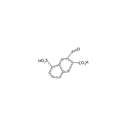 O=Ic1cc2c(S(=O)(=O)O)cccc2cc1C(=O)O